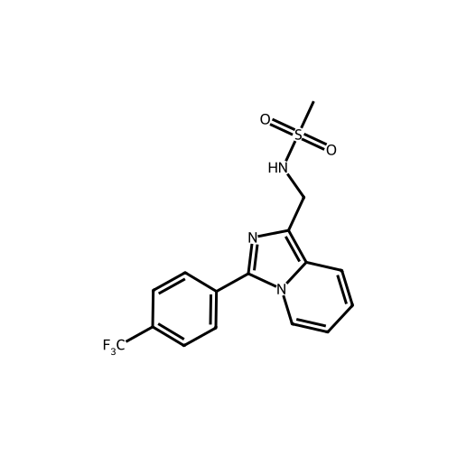 CS(=O)(=O)NCc1nc(-c2ccc(C(F)(F)F)cc2)n2ccccc12